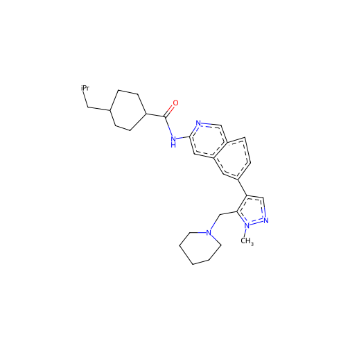 CC(C)CC1CCC(C(=O)Nc2cc3cc(-c4cnn(C)c4CN4CCCCC4)ccc3cn2)CC1